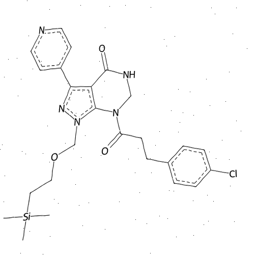 C[Si](C)(C)CCOCn1nc(-c2ccncc2)c2c1N(C(=O)CCc1ccc(Cl)cc1)CNC2=O